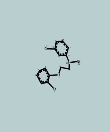 CCc1ccccc1OCCN(CC)c1cccc(Cl)c1